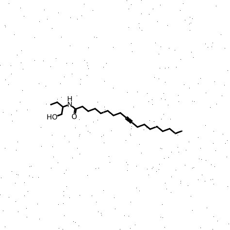 CCCCCCCCC#CCCCCCCCC(=O)NC(CC)CO